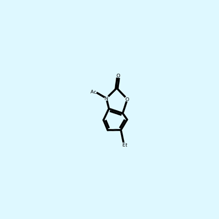 CCc1ccc2c(c1)oc(=O)n2C(C)=O